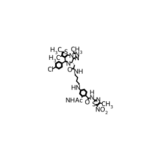 CC(=O)Nc1cc(NCCCCNC(=O)C[C@@H]2N=C(c3ccc(Cl)cc3)c3c(sc(C)c3C)-n3c(C)nnc32)ccc1C(=O)Nc1nc(C)c([N+](=O)[O-])s1